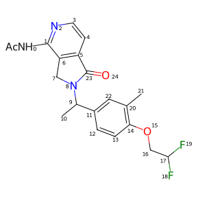 CC(=O)Nc1nccc2c1CN(C(C)c1ccc(OCC(F)F)c(C)c1)C2=O